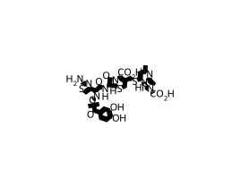 CC1=NC2=CN(C(=O)O)NN2C(SCC2=C(C(=O)O)N3C(=O)[C@@H](NC(=O)C(=NOC(C)(C)C(=O)c4ccc(O)c(O)c4)c4csc(N)n4)[C@H]3SC2)=C1